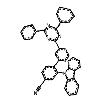 N#Cc1ccc(-c2cccc(-c3nc(-c4ccccc4)nc(-c4ccccc4)n3)c2)c(-n2c3ccccc3c3ccccc32)c1